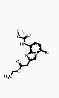 CCOC(=O)Cc1cn2c(Br)ccc(NC(=O)OC)c2n1